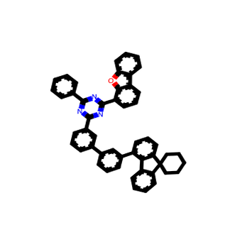 c1ccc(-c2nc(-c3cccc(-c4cccc(-c5cccc6c5-c5ccccc5C65CCCCC5)c4)c3)nc(-c3cccc4c3oc3ccccc34)n2)cc1